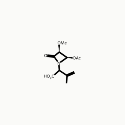 C=C(C)C(C(=O)O)N1C(=O)[C@@H](OC)[C@H]1OC(C)=O